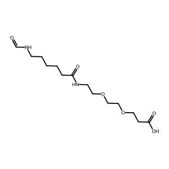 O=CNCCCCCC(=O)NCCOCCOCCC(=O)O